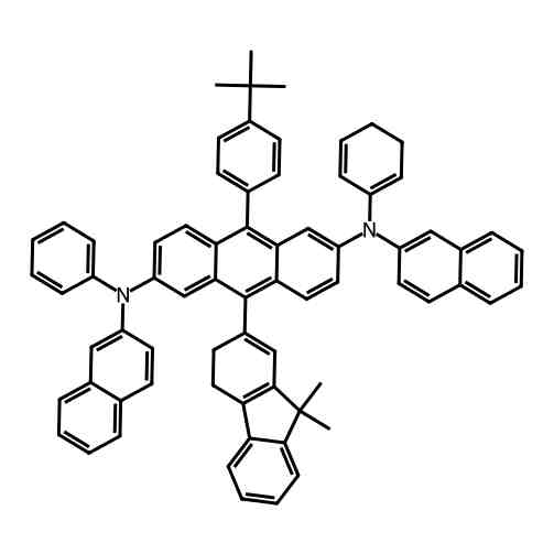 CC(C)(C)c1ccc(-c2c3ccc(N(c4ccccc4)c4ccc5ccccc5c4)cc3c(C3=CC4=C(CC3)c3ccccc3C4(C)C)c3ccc(N(C4=CCCC=C4)c4ccc5ccccc5c4)cc23)cc1